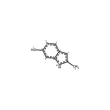 Cc1cc2cnc(O)cc2[nH]1